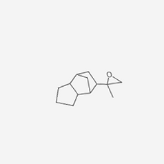 CC1(C2CC3CC2C2CCCC32)CO1